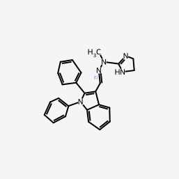 CN(/N=C/c1c(-c2ccccc2)n(-c2ccccc2)c2ccccc12)C1=NCCN1